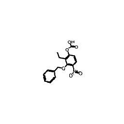 CCc1c(OC(=O)O)ccc([N+](=O)[O-])c1OCc1ccccc1